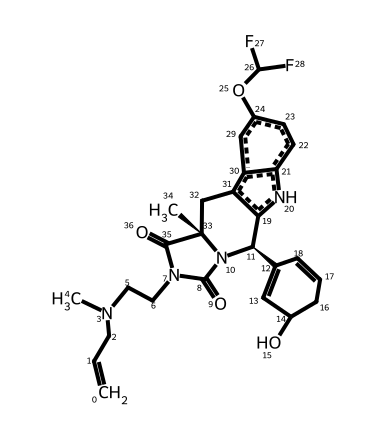 C=CCN(C)CCN1C(=O)N2[C@H](C3=CC(O)CC=C3)c3[nH]c4ccc(OC(F)F)cc4c3C[C@@]2(C)C1=O